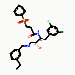 CCc1cccc(CNC[C@@H](O)[C@H](Cc2cc(F)cc(F)c2)NC(=O)CCS(=O)(=O)c2ccccc2)c1